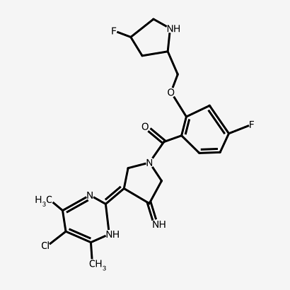 CC1=N/C(=C2\CN(C(=O)c3ccc(F)cc3OCC3CC(F)CN3)CC2=N)NC(C)=C1Cl